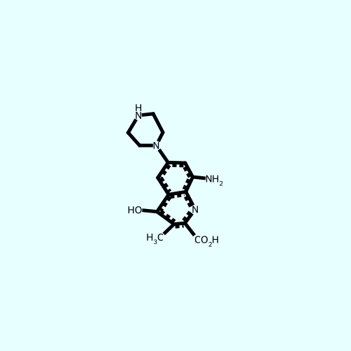 Cc1c(C(=O)O)nc2c(N)cc(N3CCNCC3)cc2c1O